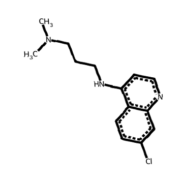 CN(C)CCCNc1ccnc2cc(Cl)ccc12